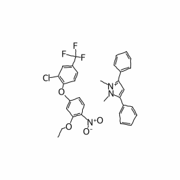 CCOc1cc(Oc2ccc(C(F)(F)F)cc2Cl)ccc1[N+](=O)[O-].Cn1c(-c2ccccc2)cc(-c2ccccc2)[n+]1C